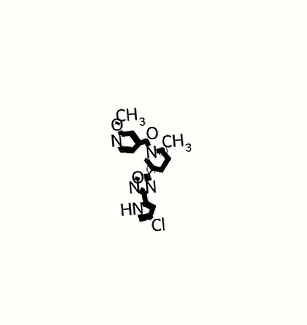 COc1cc(C(=O)N2C[C@@H](c3nc(-c4cc(Cl)c[nH]4)no3)CC[C@H]2C)ccn1